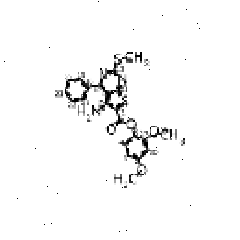 COc1ccc(OC(=O)c2sc3nc(SC)nc(-c4ccccc4)c3c2N)c(OC)c1